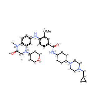 COc1cc(C(=O)NC2CCC(N3CCN(CC4CC4)CC3)CC2)ccc1Nc1ccc2c(c1)N(C1CCOCC1)[C@H](C)C(=O)N2C